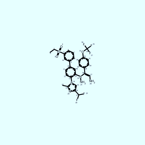 CCS(=O)(=O)c1cccc(-c2ccc(-n3cc(C(F)F)nc3C)c(N(N)/C(=C\N)c3ccc(OC(F)(F)F)cc3)c2)c1